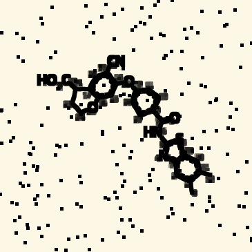 Cc1cc2nc(NC(=O)c3ccc(Oc4cc5c(cc4C#N)C(C(=O)O)CCO5)cc3)sc2cc1C